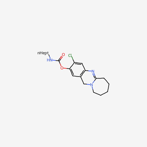 CCCCCCCNC(=O)Oc1cc2c(cc1Cl)N=C1CCCCCN1C2